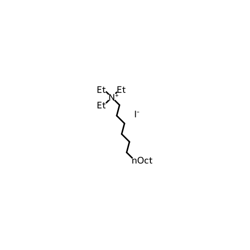 CCCCCCCCCCCCCC[N+](CC)(CC)CC.[I-]